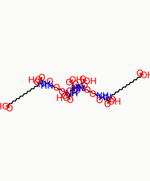 O=[C]C(C[C@H](NC(=O)COCCOCCNC(=O)CC[C@H](NC(=O)CCCCCCCCCCCCCCCCC(=O)O)C(=O)O)C(=O)O)C(=O)[C@H](CCC(=O)O)NC(=O)[C@H](CCC(=O)O)NC(=O)COCCOCCNC(=O)CC[C@H](NC(=O)CCCCCCCCCCCCCCCCC(=O)O)C(=O)O